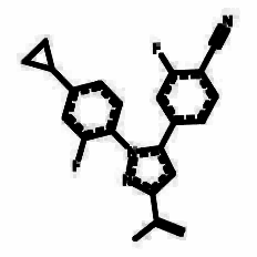 C=C(C)c1cc(-c2ccc(C#N)c(F)c2)n(-c2ccc(C3CC3)cc2F)n1